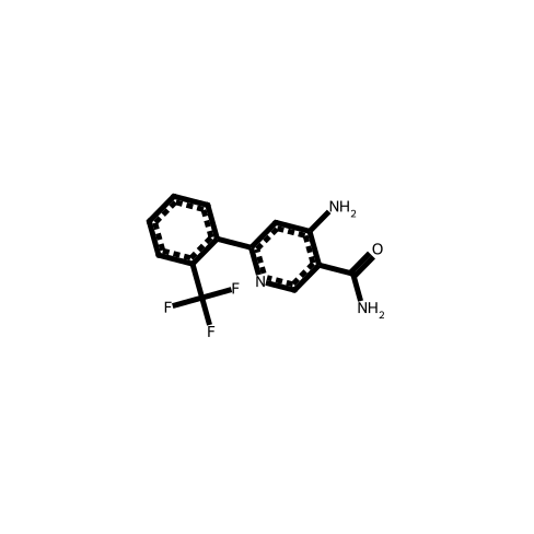 NC(=O)c1cnc(-c2ccccc2C(F)(F)F)cc1N